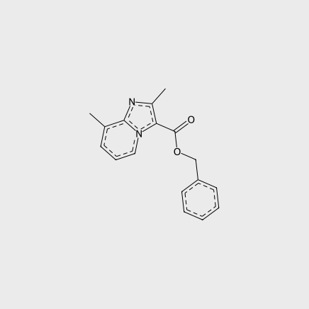 Cc1nc2c(C)cccn2c1C(=O)OCc1ccccc1